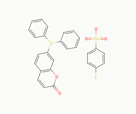 O=S(=O)([O-])c1ccc(F)cc1.O=c1ccc2ccc([S+](c3ccccc3)c3ccccc3)cc2o1